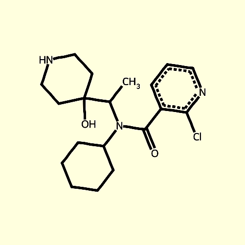 CC(N(C(=O)c1cccnc1Cl)C1CCCCC1)C1(O)CCNCC1